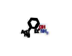 CC(=O)Oc1ccccc1.CCO.N.[Hg]